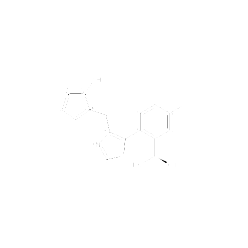 C[C@@H](O)c1cc(F)ccc1-c1scnc1Cc1ccnn1C